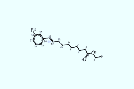 CCOC(=O)CCCCCCC/C=C/c1cccc(F)c1